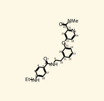 CCNc1ccc(C(=O)NCCc2cccc(Oc3ccnc(C(=O)NC)c3)c2)cc1